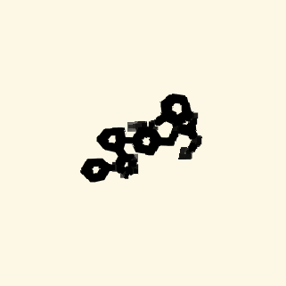 CCOc1nc2cccc(C(=O)O)c2n1Cc1ccc(-c2ccccc2-c2nnnn2-c2ccccc2)cc1